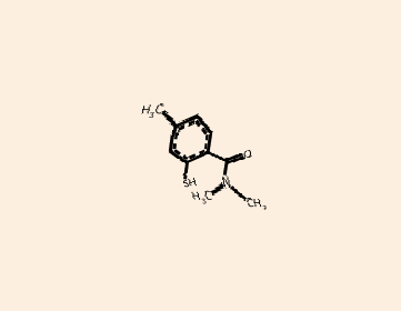 Cc1ccc(C(=O)N(C)C)c(S)c1